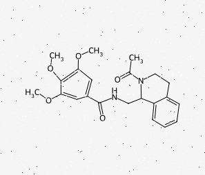 COc1cc(C(=O)NCC2c3ccccc3CCN2C(C)=O)cc(OC)c1OC